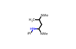 CNC(C)CC(NC)NC(C)C